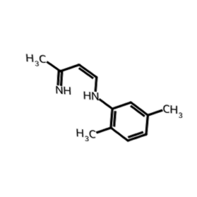 CC(=N)/C=C\Nc1cc(C)ccc1C